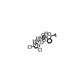 O=C(Nc1nc(Cl)cc(Cl)n1)NS(=O)(=O)Nc1ccccc1C(=O)C1CC1